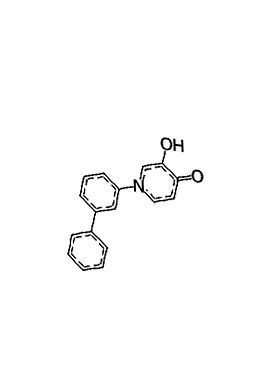 O=c1ccn(-c2cccc(-c3ccccc3)c2)cc1O